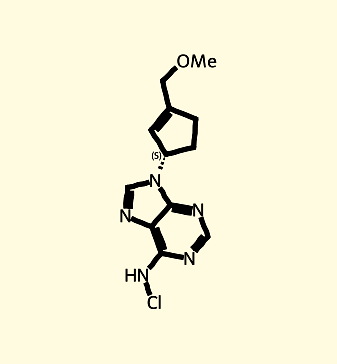 COCC1=C[C@@H](n2cnc3c(NCl)ncnc32)CC1